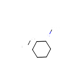 C1CCCCC1.CCCC.CCOC(N)=O